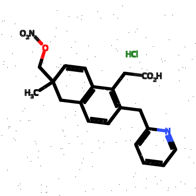 CC1(CO[N+](=O)[O-])C=Cc2c(ccc(Cc3ccccn3)c2CC(=O)O)C1.Cl